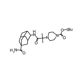 CC(C)(C)OC(=O)N1CCN(C(C)(C)C(=O)NC2C3CC4CC2CC(C(N)=O)(C4)C3)CC1